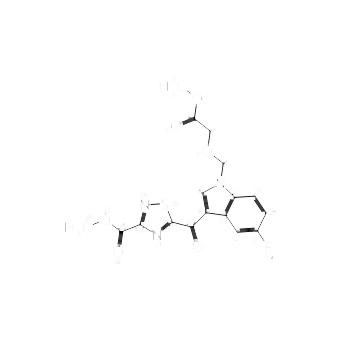 COC(=O)COCn1cc(C(=O)c2nc(C(=O)OC)ns2)c2cc(F)ccc21